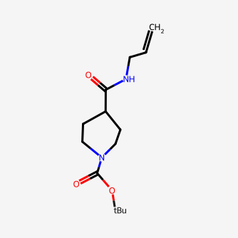 C=CCNC(=O)C1CCN(C(=O)OC(C)(C)C)CC1